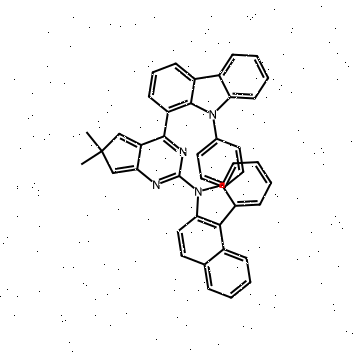 CC1(C)C=c2nc(-n3c4ccccc4c4c5ccccc5ccc43)nc(-c3cccc4c5ccccc5n(-c5ccccc5)c34)c2=C1